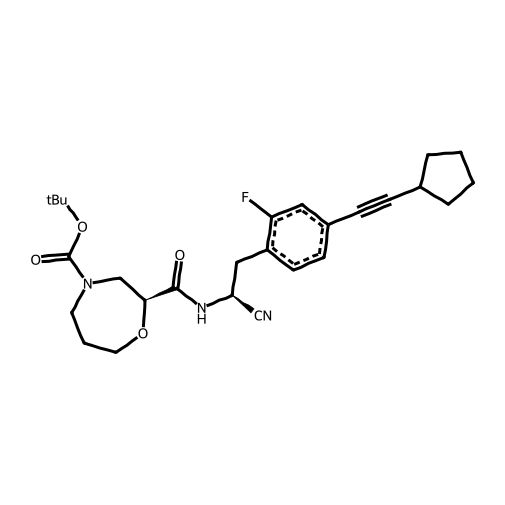 CC(C)(C)OC(=O)N1CCCO[C@H](C(=O)N[C@H](C#N)Cc2ccc(C#CC3CCCC3)cc2F)C1